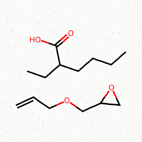 C=CCOCC1CO1.CCCCC(CC)C(=O)O